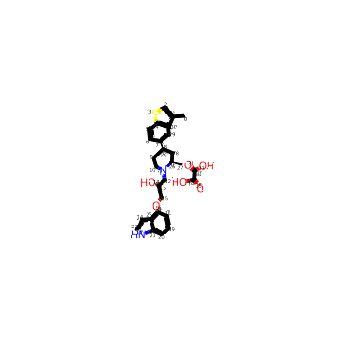 Cc1csc2ccc([C@@H]3CCN(C[C@H](O)COc4cccc5[nH]ccc45)[C@H](C)C3)cc12.O=C(O)C(=O)O